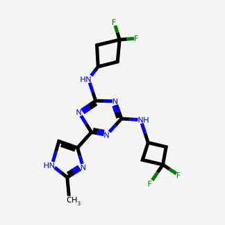 Cc1nc(-c2nc(NC3CC(F)(F)C3)nc(NC3CC(F)(F)C3)n2)c[nH]1